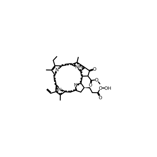 C=Cc1c(C)c2cc3nc(c4c5[nH]c(cc6nc(cc1[nH]2)C(C)=C6CC)c(C)c5C(=O)C4C(=O)OC)[C@@H](CCC(=O)OO)C3